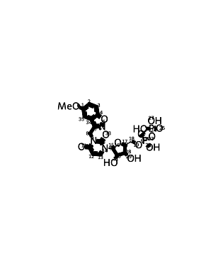 COc1ccc2onc(Cn3c(=O)ccn([C@@H]4O[C@H](COP(=O)(O)OP(=O)(O)O)C(O)C4O)c3=O)c2c1